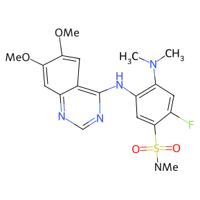 CNS(=O)(=O)c1cc(Nc2ncnc3cc(OC)c(OC)cc23)c(N(C)C)cc1F